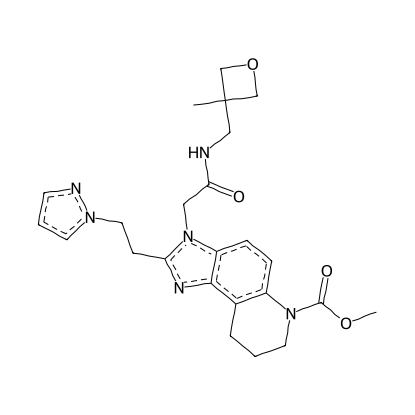 COC(=O)N1CCCc2c1ccc1c2nc(CCn2cccn2)n1CC(=O)NCC1(C)COC1